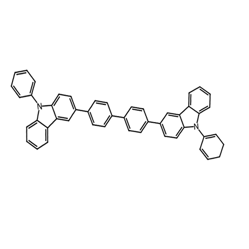 C1=CC(n2c3ccccc3c3cc(-c4ccc(-c5ccc(-c6ccc7c(c6)c6ccccc6n7-c6ccccc6)cc5)cc4)ccc32)=CCC1